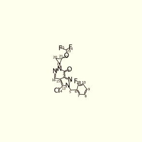 O=c1c2nn(Cc3ccccc3F)c(Cl)c2cnn1[C@@H]1C[C@H]1OC(F)F